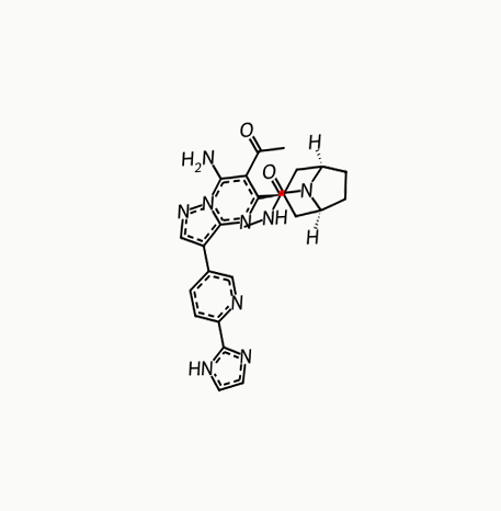 CNC(=O)N1[C@@H]2CC[C@H]1C[C@@H](c1nc3c(-c4ccc(-c5ncc[nH]5)nc4)cnn3c(N)c1C(C)=O)C2